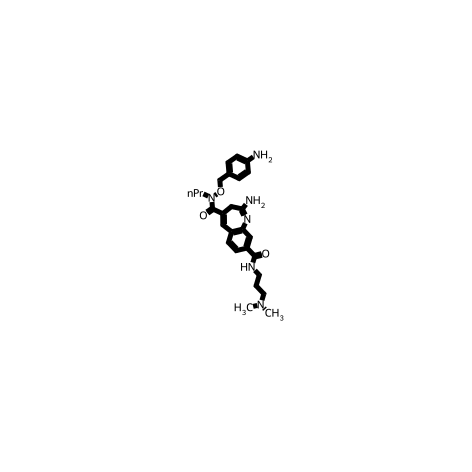 CCCN(OCc1ccc(N)cc1)C(=O)C1=Cc2ccc(C(=O)NCCCN(C)C)cc2N=C(N)C1